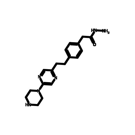 NNC(=O)Cc1ccc(CCc2cnc(N3CCNCC3)cn2)cc1